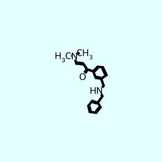 CN(C)C=CC(=O)c1cccc(CNCc2ccccc2)c1